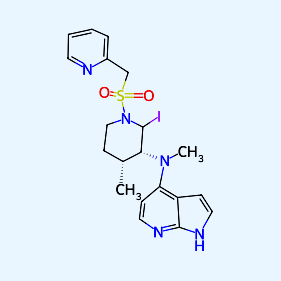 C[C@@H]1CCN(S(=O)(=O)Cc2ccccn2)C(I)[C@@H]1N(C)c1ccnc2[nH]ccc12